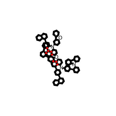 c1ccc(-c2ccc(-c3cccc4ccccc34)cc2N(c2ccc(-c3ccccc3-n3c4ccccc4c4ccccc43)cc2)c2ccc3oc4cc(-c5cccc6c7ccccc7n(-c7ccccc7N(c7ccc8oc9ccccc9c8c7)c7cc(-c8cccc9ccccc89)ccc7-c7ccccc7)c56)ccc4c3c2)cc1